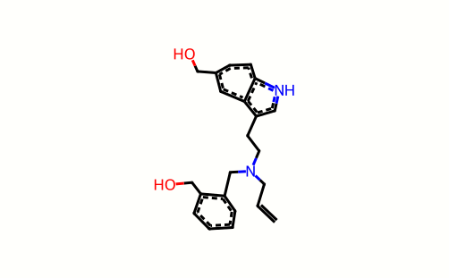 C=CCN(CCc1c[nH]c2ccc(CO)cc12)Cc1ccccc1CO